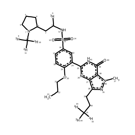 [2H]C(CC1CCCN1C([2H])([2H])[2H])NS(=O)(=O)c1ccc(OCCC)c(-c2nc3c(CCC([2H])([2H])[2H])nn(C)c3c(=O)[nH]2)c1